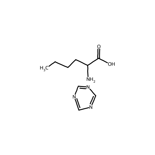 CCCCC(N)C(=O)O.c1ncncn1